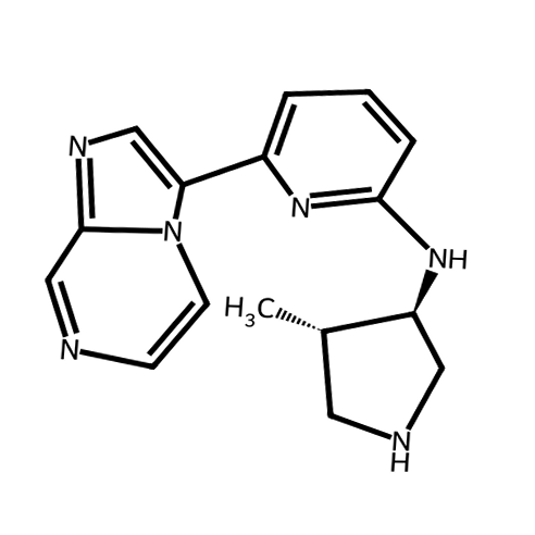 C[C@H]1CNC[C@@H]1Nc1cccc(-c2cnc3cnccn23)n1